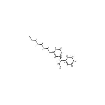 CCCCCCCCc1ccc[n+](C(CC)c2ccccc2)c1